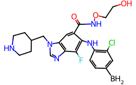 Bc1ccc(Nc2c(C(=O)NOCCO)cc3c(ncn3CC3CCNCC3)c2F)c(Cl)c1